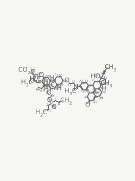 C=CCP(=O)(CC=C)OCO[C@@H]1C[C@@H]2C[C@@H](OCCN(C)c3ccc([C@H]4C[C@@]5(C)[C@@H](CC[C@]5(O)C#CC)[C@@H]5CCC6=CC(=O)CCC6=C54)cc3)CC[C@]2(C)[C@H]2C[C@H](O)[C@]3(C)[C@@H]([C@H](C)CCC(=O)O)CC[C@H]3[C@H]12